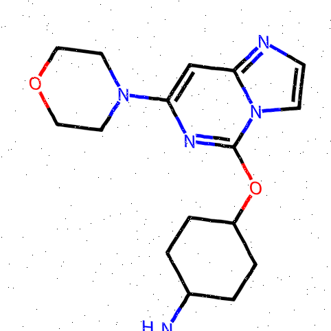 NC1CCC(Oc2nc(N3CCOCC3)cc3nccn23)CC1